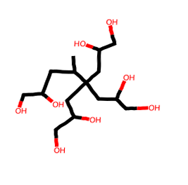 CC(CC(O)CO)C(CC(O)CO)(CC(O)CO)CC(O)CO